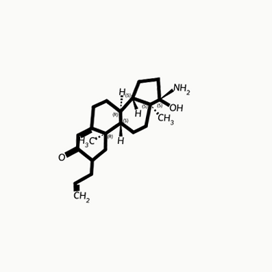 C=CCC1C[C@@]2(C)C(=CC1=O)CC[C@@H]1[C@@H]2CC[C@@]2(C)[C@H]1CC[C@]2(N)O